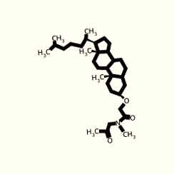 CC(=O)CN(C)C(=O)CO[C@H]1CC[C@@]2(C)C(CCC3C2CC[C@@]2(C)C3CC[C@@H]2C(C)CCCC(C)C)C1